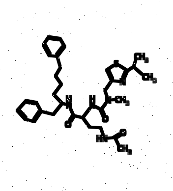 CC(=O)NCCC(NC(=O)N(C)Cc1csc(C(C)C)n1)C(=O)NC(CCCCc1ccccc1)Cc1ccccc1